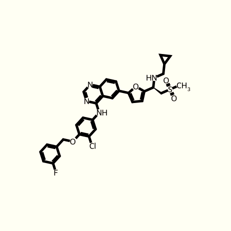 CS(=O)(=O)C[C@H](NCC1CC1)c1ccc(-c2ccc3ncnc(Nc4ccc(OCc5cccc(F)c5)c(Cl)c4)c3c2)o1